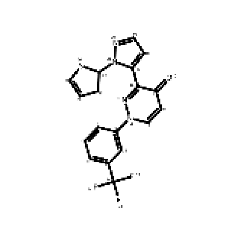 O=c1ccn(-c2cccc(C(F)(F)F)c2)nc1-c1ccnn1C1CC=CS1